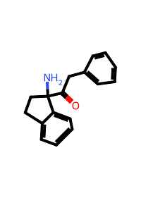 NC1(C(=O)Cc2ccccc2)CCc2ccccc21